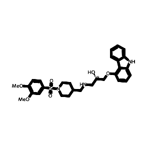 COc1ccc(S(=O)(=O)N2CCC(CNC[C@H](O)COc3cccc4[nH]c5ccccc5c34)CC2)cc1OC